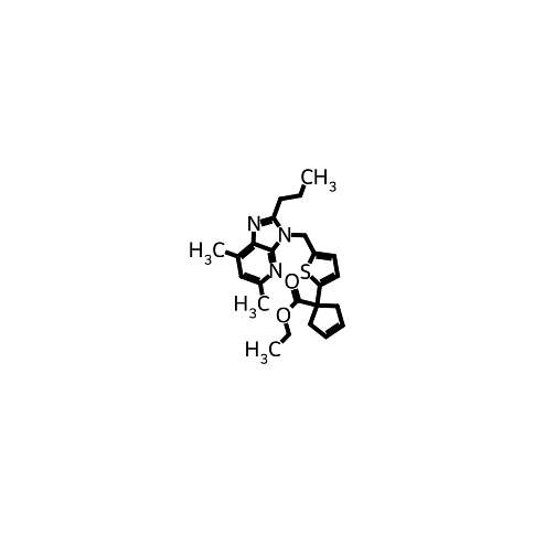 CCCc1nc2c(C)cc(C)nc2n1Cc1ccc(C2(C(=O)OCC)CC=CC2)s1